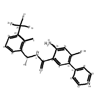 Cc1c([C@@H](C)NC(=O)c2cc(-c3ccncc3)c(F)cc2N)cccc1C(F)(F)F